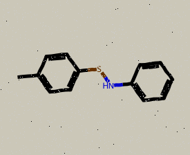 Cc1ccc(SNc2ccccc2)cc1